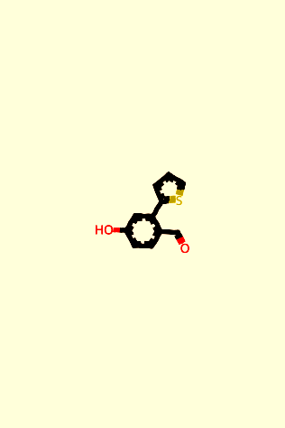 O=Cc1ccc(O)cc1-c1cccs1